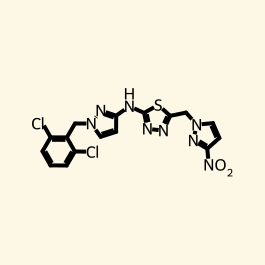 O=[N+]([O-])c1ccn(Cc2nnc(Nc3ccn(Cc4c(Cl)cccc4Cl)n3)s2)n1